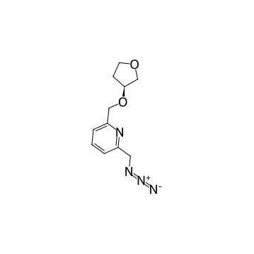 [N-]=[N+]=NCc1cccc(CO[C@H]2CCOC2)n1